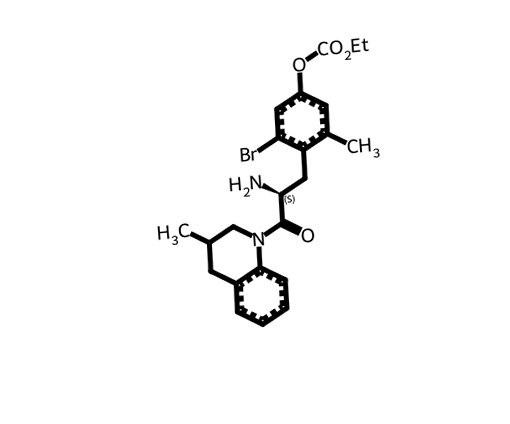 CCOC(=O)Oc1cc(C)c(C[C@H](N)C(=O)N2CC(C)Cc3ccccc32)c(Br)c1